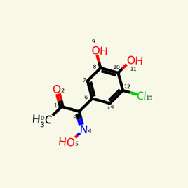 CC(=O)C(=NO)c1cc(O)c(O)c(Cl)c1